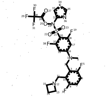 CN(Cc1c(F)ccc(F)c1CN1CCC1)c1cc(F)c(S(=O)(=O)N(OC(=O)C(F)(F)F)c2cscn2)c(F)c1